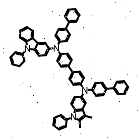 Cc1c(C)n(-c2ccccc2)c2ccc(N(c3ccc(-c4ccccc4)cc3)c3ccc(-c4ccc(N(c5ccc(-c6ccccc6)cc5)c5ccc6c(c5)c5ccccc5n6C5=CC=CCC5)cc4)cc3)cc12